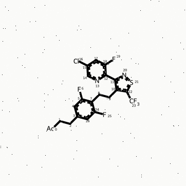 CC(=O)CCc1cc(F)c(CCc2c(-c3ncc(Cl)cc3F)nsc2C(F)(F)F)c(F)c1